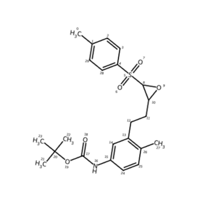 Cc1ccc(S(=O)(=O)C2OC2CCc2cc(NC(=O)OC(C)(C)C)ccc2C)cc1